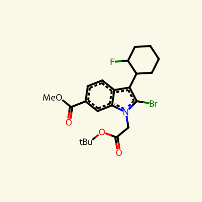 COC(=O)c1ccc2c(C3CCCCC3F)c(Br)n(CC(=O)OC(C)(C)C)c2c1